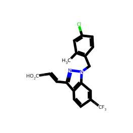 Cc1cc(Cl)ccc1Cn1nc(C=CC(=O)O)c2ccc(C(F)(F)F)cc21